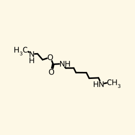 CNCCCCCCNC(=O)OCCNC